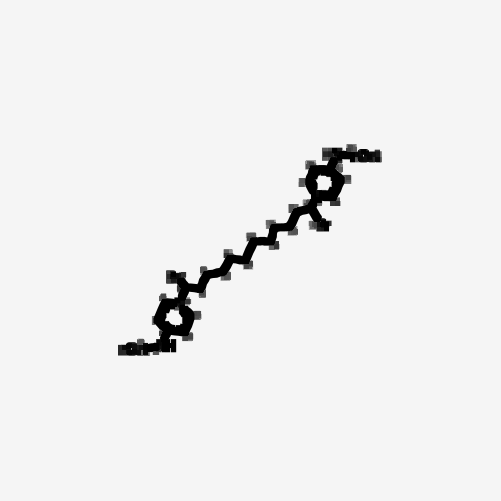 CCCCCCCCNc1cc[n+](C(Br)CCCCCCCCCCC(Br)[n+]2ccc(NCCCCCCCC)cc2)cc1